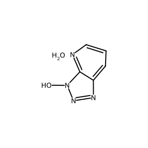 O.On1nnc2cccnc21